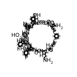 NCCCC[C@@H]1NC(=O)CCSCc2cccc(c2)CSC[C@@H](C(N)=O)NC(=O)CCCCNC(=O)[C@H](Cc2ccc(O)cc2)NC(=O)[C@H](Cc2cnc[nH]2)NC(=O)[C@H](CC(=O)O)NC(=O)[C@H](Cc2c[nH]c3ccc(F)cc23)NC(=O)[C@H](Cc2c[nH]c3ccc(F)cc23)NC(=O)CNC1=O